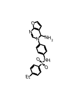 CCc1ccc(S(=O)(=O)Nc2ccc(N3C=Nc4occc4C3N)cc2)cc1